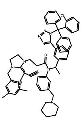 Cc1cc(C)cc(CN2CCN(CCC(=O)N(c3cccc(CN4CCCCC4)c3)C(C)c3cccc(-c4nnnn4C(c4ccccc4)(c4ccccc4)c4ccccc4Cl)c3)C2=C(C#N)C#N)c1